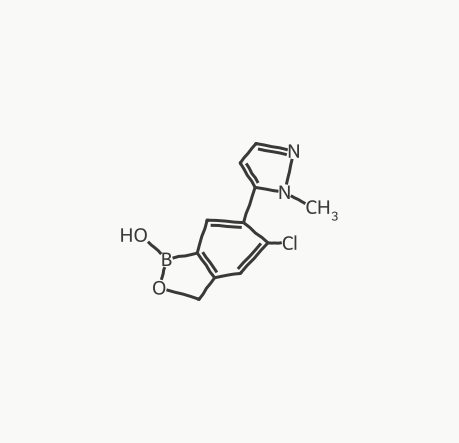 Cn1nccc1-c1cc2c(cc1Cl)COB2O